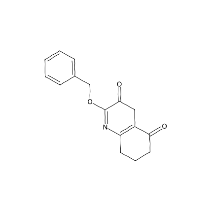 O=C1CC2=C(CCCC2=O)N=C1OCc1ccccc1